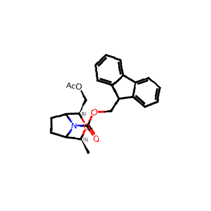 CC(=O)OC[C@H]1O[C@@H](C)C2CCC1N2C(=O)OCC1c2ccccc2-c2ccccc21